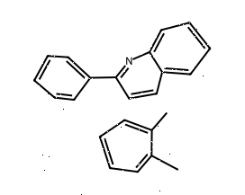 Cc1ccccc1C.c1ccc(-c2ccc3ccccc3n2)cc1